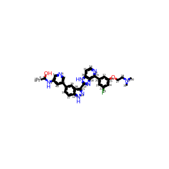 CC(C)C(O)Nc1cncc(-c2ccc3[nH]nc(-c4nc5c(-c6cc(F)cc(OCCN(C)C)c6)nccc5[nH]4)c3c2)c1